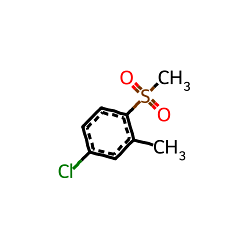 Cc1cc(Cl)ccc1S(C)(=O)=O